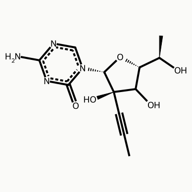 CC#C[C@@]1(O)C(O)[C@@H]([C@@H](C)O)O[C@H]1n1cnc(N)nc1=O